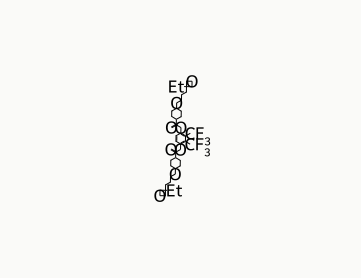 CCC1(CCCOC2CCC(C(=O)Oc3ccc(OC(=O)C4CCC(OCCCC5(CC)COC5)CC4)c(C(F)(F)F)c3C(F)(F)F)CC2)COC1